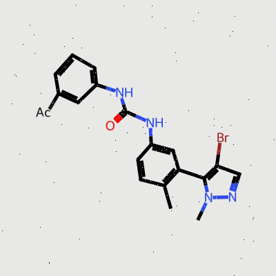 CC(=O)c1cccc(NC(=O)Nc2ccc(C)c(-c3c(Br)cnn3C)c2)c1